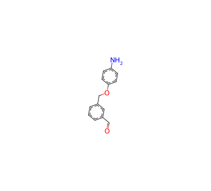 Nc1ccc(OCc2cccc(C=O)c2)cc1